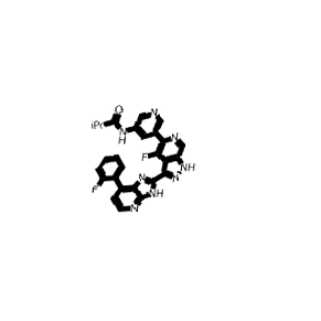 CC(C)C(=O)Nc1cncc(-c2ncc3[nH]nc(-c4nc5c(-c6ccccc6F)ccnc5[nH]4)c3c2F)c1